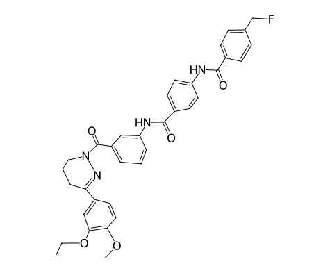 CCOc1cc(C2=NN(C(=O)c3cccc(NC(=O)c4ccc(NC(=O)c5ccc(CF)cc5)cc4)c3)CCC2)ccc1OC